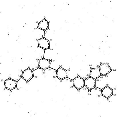 c1ccc(-c2ccc(-c3nc(-c4ccc(-c5ccccc5)cc4)nc(-c4ccc(-c5ccc6nc(-c7ccccc7)c7c8ccccc8sc7c6c5)cc4)n3)cc2)cc1